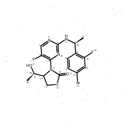 C[C@H](Nc1ncc(F)c(N2C(=O)OCC2[C@@H](C)O)n1)c1ccc(Br)cc1F